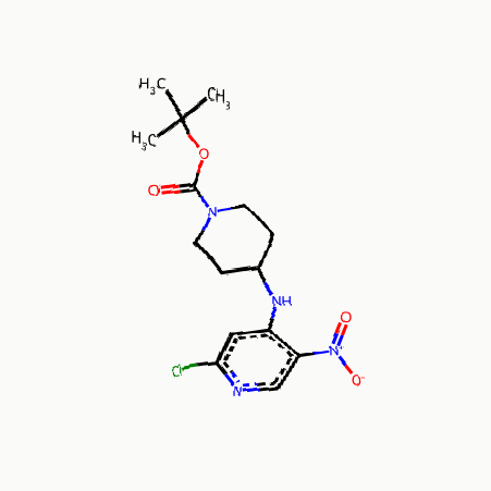 CC(C)(C)OC(=O)N1CCC(Nc2cc(Cl)ncc2[N+](=O)[O-])CC1